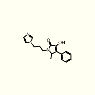 CC1C(c2ccccc2)=C(O)C(=O)N1CCCn1ccnc1